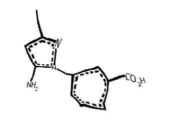 Cc1cc(N)n(-c2cccc(C(=O)O)c2)n1